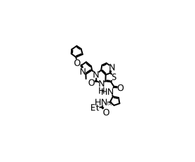 CCC(=O)N[C@H]1CCC=C1NC(=O)c1sc2nccc3c2c1NC(=O)N3c1ccc(Oc2ccccc2)nc1C